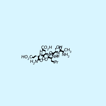 CC(C)C[C@H](NC(=O)[C@H](CO)NC(=O)[C@H](C)N)C(=O)N[C@@H](CCC(=O)O)C(=O)N[C@@H](CCC(=O)O)C(N)=O